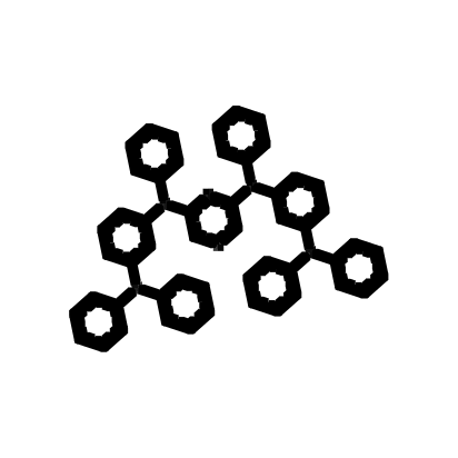 c1ccc(N(c2ccccc2)c2cccc(N(c3ccccc3)c3cncc(N(c4ccccc4)c4cccc(N(c5ccccc5)c5ccccc5)c4)n3)c2)cc1